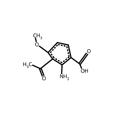 COc1ccc(C(=O)O)c(N)c1C(C)=O